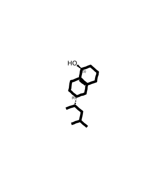 CC(C)CC(C)[C@@H]1CCC2=C(CCC[C@@H]2O)C1